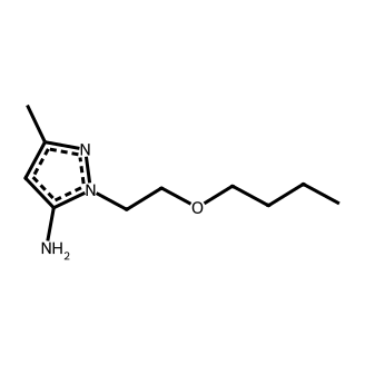 CCCCOCCn1nc(C)cc1N